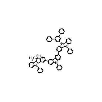 CC1(C)c2ccc(-c3ccc4c(c3)c3cc(-c5ccc6c(c5)C5C(c7ccccc7N5c5ccccc5)N6c5cc(-c6ccccc6)cc(-c6ccccc6)c5)ccc3n4-c3ccccc3)cc2C2C1c1ccccc1N2c1ccccc1